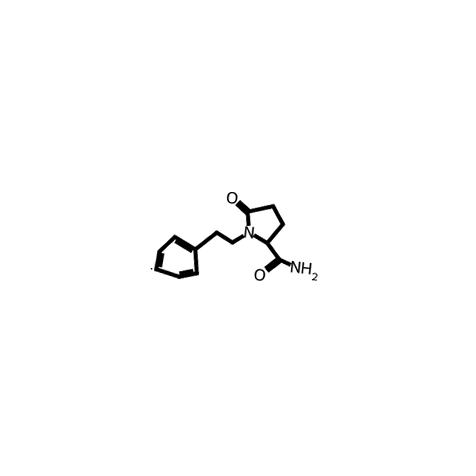 NC(=O)C1CCC(=O)N1CCc1cc[c]cc1